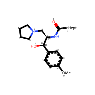 CCCCCCCC(=O)N[C@H](CN1CCCC1)[C@H](O)c1ccc(OC)cc1